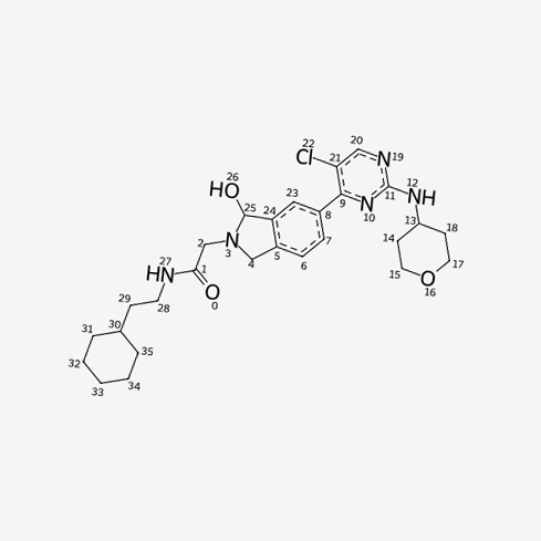 O=C(CN1Cc2ccc(-c3nc(NC4CCOCC4)ncc3Cl)cc2C1O)NCCC1CCCCC1